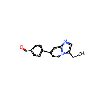 CCc1cnc2cc(-c3ccc(C=O)cc3)ccn12